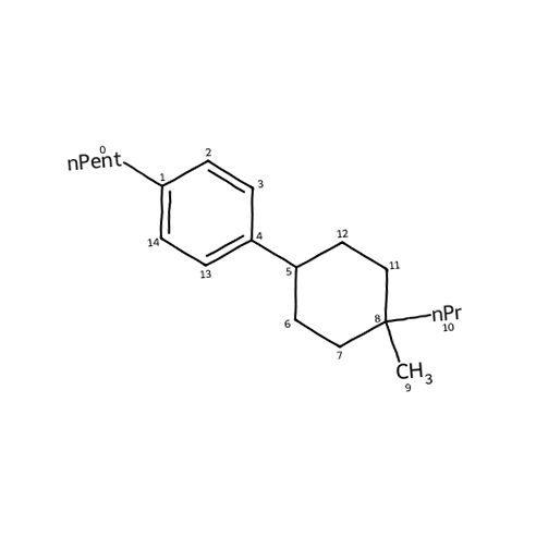 CCCCCc1ccc(C2CCC(C)(CCC)CC2)cc1